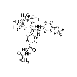 CC(=O)NNC(=O)c1ccc2c(c1)nc(Nc1ccc(OC(F)(F)F)cc1)n2C1CC(C)(C)CC(C)(C)C1